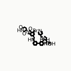 O=C1CCC(N2Cc3cc(CNc4cccc(-c5ccc6c(c5)[C@H]5[C@H](CCN5Cc5ccncc5)[C@@H](CO)N6)c4)cc(Br)c3C2=O)C(=O)N1